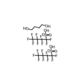 O=S(=O)(O)C(F)(F)C(F)(F)C(F)(F)C(F)(F)F.O=S(=O)(O)C(F)(F)C(F)(F)C(F)(F)C(F)(F)F.OCCCCO